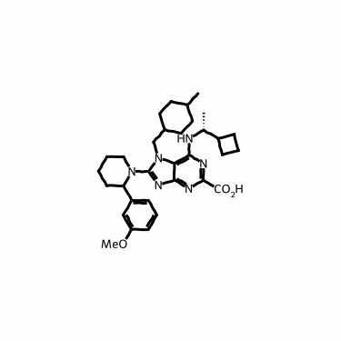 COc1cccc(C2CCCCN2c2nc3nc(C(=O)O)nc(N[C@H](C)C4CCC4)c3n2CC2CCC(C)CC2)c1